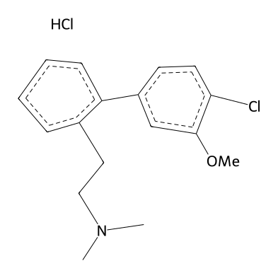 COc1cc(-c2ccccc2CCN(C)C)ccc1Cl.Cl